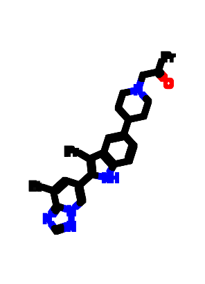 CCc1cc(-c2[nH]c3ccc(C4CCN(CC(=O)C(C)C)CC4)cc3c2C(C)C)cn2ncnc12